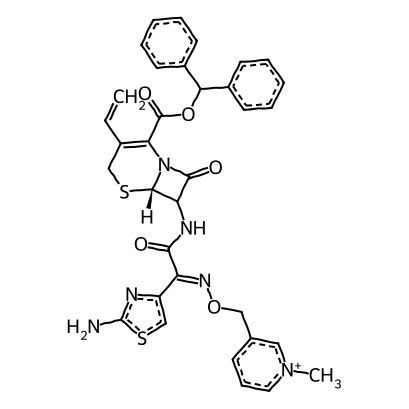 C=CC1=C(C(=O)OC(c2ccccc2)c2ccccc2)N2C(=O)C(NC(=O)C(=NOCc3ccc[n+](C)c3)c3csc(N)n3)[C@@H]2SC1